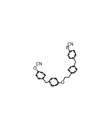 N#COc1ccc(Cc2ccc(CCOc3ccc(Cc4ccc(OC#N)cc4)cc3)cc2)cc1